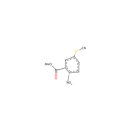 COC(=O)c1cc(SC#N)ccc1[N+](=O)[O-]